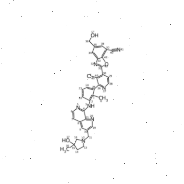 Cc1c(Nc2nccc3cc(CN4CCC(C)(O)C4)cnc23)cccc1-c1nccc(-c2nc3cc(CO)cc(C#N)c3o2)c1Cl